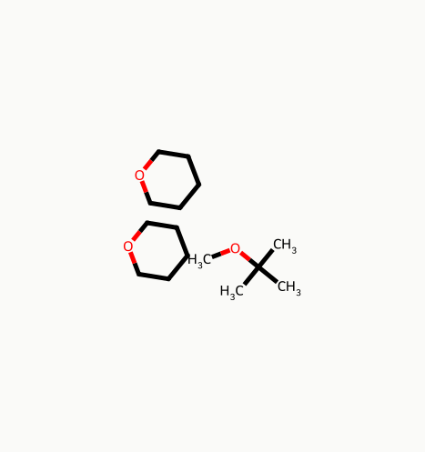 C1CCOCC1.C1CCOCC1.COC(C)(C)C